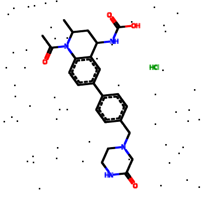 CC(=O)N1c2ccc(-c3ccc(CN4CCNC(=O)C4)cc3)cc2C(NC(=O)O)CC1C.Cl